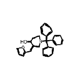 OC1CCN(C(c2ccccc2)(c2ccccc2)c2ccccc2)CC1=Cc1ccco1